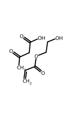 C=CC(=O)OCCO.CC(=O)CC(=O)O